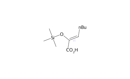 CCCC/C=C(\O[Si](C)(C)C)C(=O)O